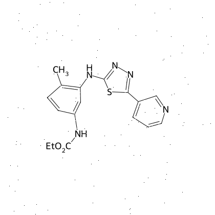 CCOC(=O)Nc1ccc(C)c(Nc2nnc(-c3cccnc3)s2)c1